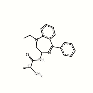 CCN1CC(NC(=O)[C@H](C)N)N=C(c2ccccc2)c2ccccc21